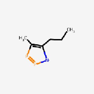 CCCC1=C(C)P=P[N]1